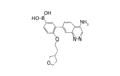 Nc1cnnc2cc(-c3cc(B(O)O)ccc3OCCC3CCOC3)ccc12